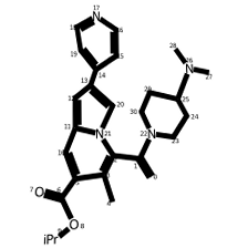 C=C(c1c(C)c(C(=O)OC(C)C)cc2cc(-c3ccncc3)cn12)N1CCC(N(C)C)CC1